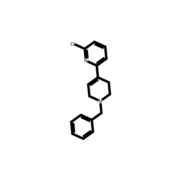 Clc1cccc(C2=CCN(Cc3ccccc3)CC2)n1